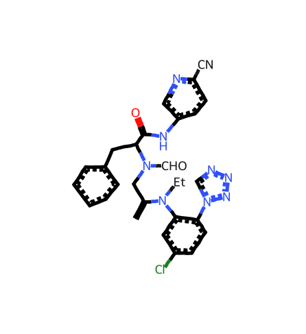 C=C(CN(C=O)C(Cc1ccccc1)C(=O)Nc1ccc(C#N)nc1)N(CC)c1cc(Cl)ccc1-n1cnnn1